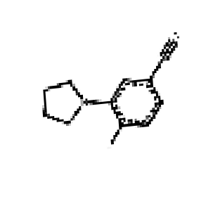 N#Cc1ccc(F)c(N2CCCC2)c1